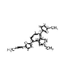 CC#Cc1ccc(-c2ccc(-c3ccc(C)o3)c3nn(C)nc23)o1